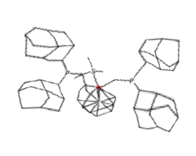 C[Si](C)(C)[C]12[CH]3[CH]4[CH]5[CH]1[Fe]45321678[CH]2[CH]1[C]6(CP(C1C3CC4CC(C3)CC1C4)C1C3CC4CC(C3)CC1C4)[C]7(CP(C1C3CC4CC(C3)CC1C4)C1C3CC4CC(C3)CC1C4)[CH]28